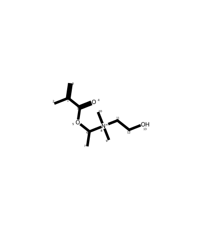 C=C(C)C(=O)OC(C)[N+](C)(C)CCO